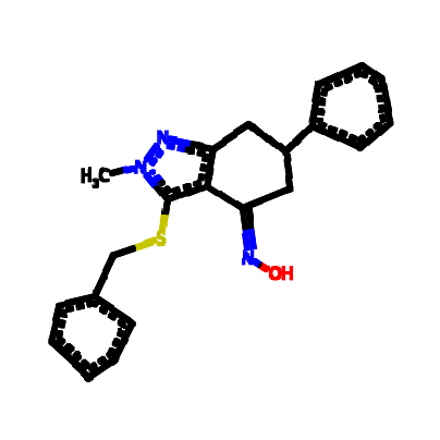 Cn1nc2c(c1SCc1ccccc1)/C(=N/O)CC(c1ccccc1)C2